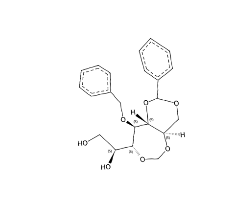 OC[C@H](O)[C@H]1OCO[C@@H]2COC(c3ccccc3)O[C@H]2[C@@H]1OCc1ccccc1